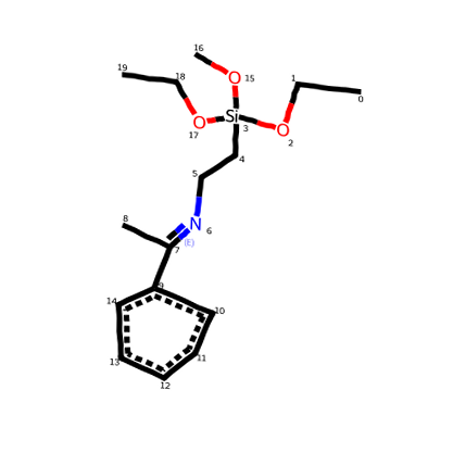 CCO[Si](CC/N=C(\C)c1ccccc1)(OC)OCC